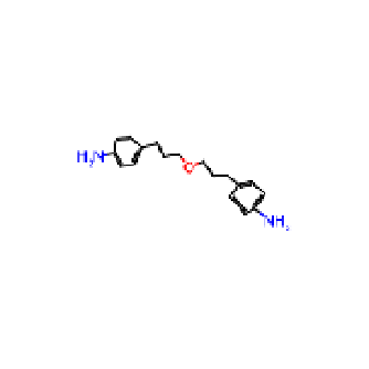 Nc1ccc(CCCOCCCc2ccc(N)cc2)cc1